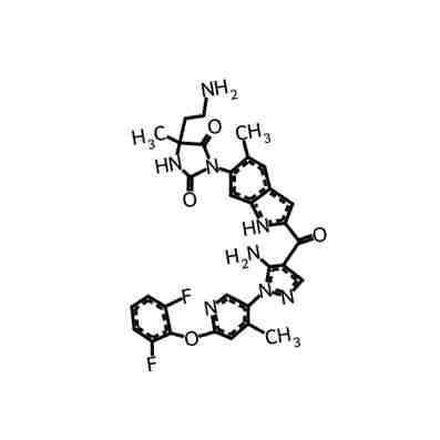 Cc1cc2cc(C(=O)c3cnn(-c4cnc(Oc5c(F)cccc5F)cc4C)c3N)[nH]c2cc1N1C(=O)NC(C)(CCN)C1=O